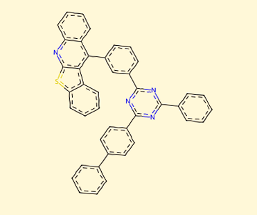 c1ccc(-c2ccc(-c3nc(-c4ccccc4)nc(-c4cccc(-c5c6ccccc6nc6sc7ccccc7c56)c4)n3)cc2)cc1